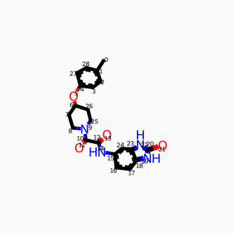 Cc1ccc(OC2CCN(C(=O)C(=O)Nc3ccc4[nH]c(=O)[nH]c4c3)CC2)cc1